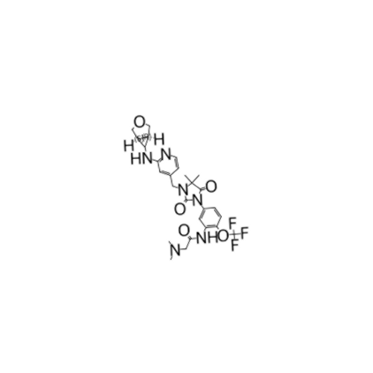 CN(C)CC(=O)Nc1cc(N2C(=O)N(Cc3ccnc(NC4[C@H]5COC[C@@H]45)c3)C(C)(C)C2=O)ccc1OC(F)(F)F